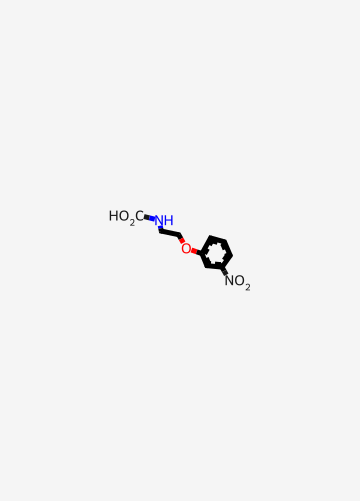 O=C(O)NCCOc1cccc([N+](=O)[O-])c1